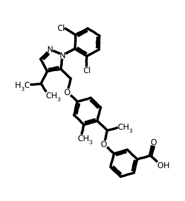 Cc1cc(OCc2c(C(C)C)cnn2-c2c(Cl)cccc2Cl)ccc1C(C)Oc1cccc(C(=O)O)c1